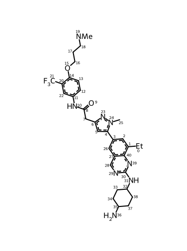 CCc1cc(-c2cc(CC(=O)Nc3ccc(OCCCNC)c(C(F)(F)F)c3)nn2C)cc2cnc(NC3CCC(N)CC3)nc12